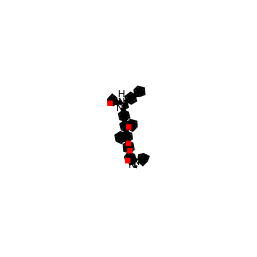 C1=C(c2ccc(-c3ccc(-c4ccc(-c5ccc(-c6ccc7ncn(-c8ccccc8)c7c6)cc5)c5ccccc45)c4ccccc34)cc2)N=C(c2ccccc2)NC1c1ccc(-c2ccccc2)cc1